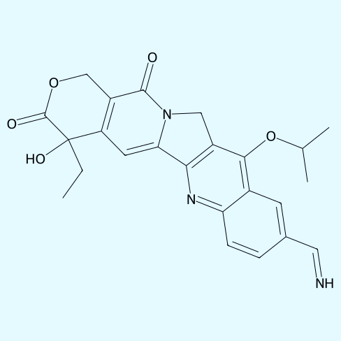 CCC1(O)C(=O)OCc2c1cc1n(c2=O)Cc2c-1nc1ccc(C=N)cc1c2OC(C)C